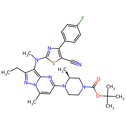 CCc1nn2c(C)cc(N3CCN(C(=O)OC(C)(C)C)C[C@@H]3C)nc2c1N(C)c1nc(-c2ccc(F)cc2)c(C#N)s1